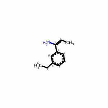 C/C=C(/N)c1cccc(CC)c1